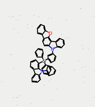 c1ccc(-n2c3ccccc3c3cccc([Si](c4ccccc4)(c4ccccc4)c4cccc(-n5c6ccccc6c6c7oc8ccccc8c7ccc65)c4)c32)cc1